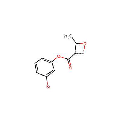 CC1OCC1C(=O)Oc1cccc(Br)c1